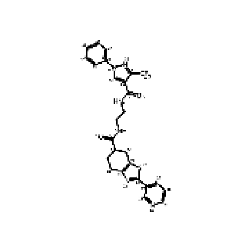 O=C(NCCNC(=O)C1CCc2nc(-c3cnccn3)sc2C1)c1cn(-c2ccccc2)nc1C(F)(F)F